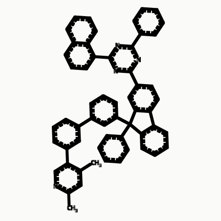 Cc1cc(C)c(-c2cccc(-c3cccc(C4(c5ccccc5)c5ccccc5-c5ccc(-c6nc(-c7ccccc7)nc(-c7cccc8ccccc78)n6)cc54)c3)c2)cn1